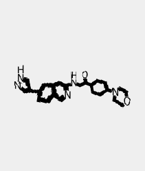 O=C(CNc1cc2cc(-c3cn[nH]c3)ccc2cn1)C1CCC(N2CCOCC2)CC1